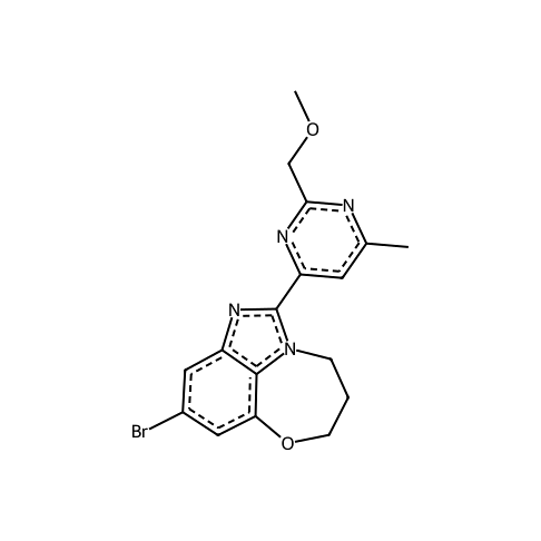 COCc1nc(C)cc(-c2nc3cc(Br)cc4c3n2CCCO4)n1